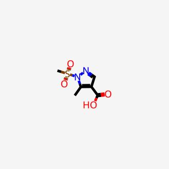 Cc1c(C(=O)O)cnn1S(C)(=O)=O